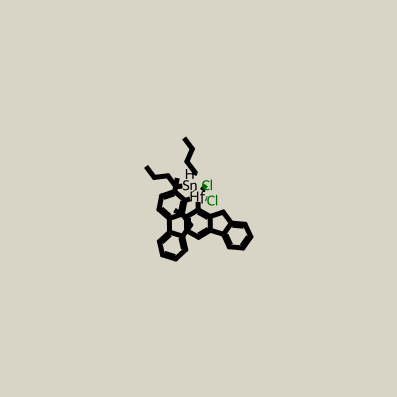 CCC[CH2][SnH]([CH2]CCC)[Hf]([Cl])([Cl])([c]1c(C)ccc2c1Cc1ccccc1-2)[c]1c(C)ccc2c1Cc1ccccc1-2